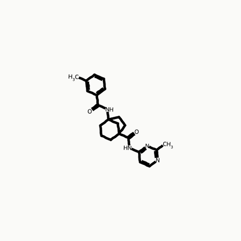 Cc1cccc(C(=O)NC23CCCC(C(=O)Nc4ccnc(C)n4)(CC2)C3)c1